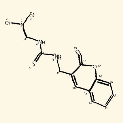 CCN(CC)CNC(=S)NCc1cc2ccccc2oc1=O